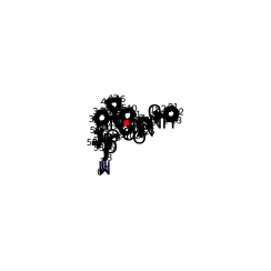 C/N=C/CCOP(OC[C@H]1O[C@@H](n2ccc(NC(=O)c3ccccc3)nc2=O)CC1NC(c1ccccc1)(c1ccccc1)c1ccccc1)N(C(C)C)C(C)C